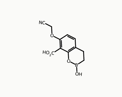 N#CCOc1ccc2c(c1C(=O)O)OB(O)CC2